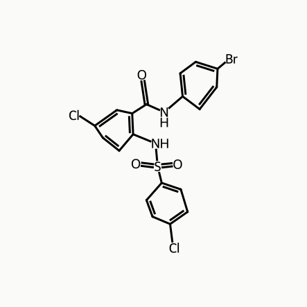 O=C(Nc1ccc(Br)cc1)c1cc(Cl)ccc1NS(=O)(=O)c1ccc(Cl)cc1